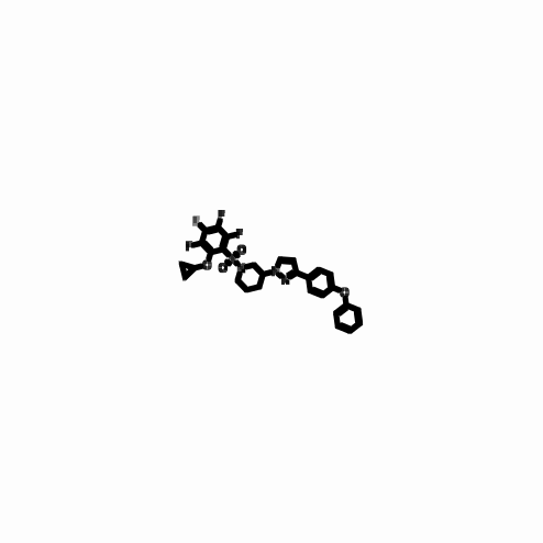 O=S(=O)(c1c(F)c(F)c(F)c(F)c1OC1CC1)N1CCCC(n2ccc(-c3ccc(Oc4ccccc4)cc3)n2)C1